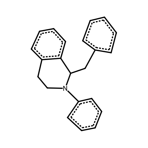 c1ccc(CC2c3ccccc3CCN2c2ccccc2)cc1